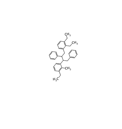 CCc1cccc(C(Cc2ccccc2)C(Cc2cccc(CC)c2CC)c2ccccc2)c1C